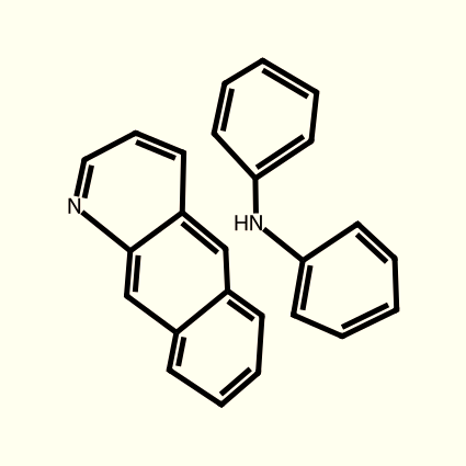 c1ccc(Nc2ccccc2)cc1.c1ccc2cc3ncccc3cc2c1